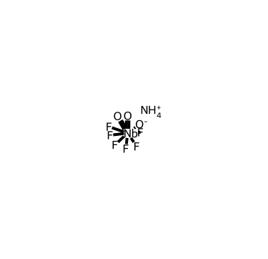 [NH4+].[O]=[Nb](=[O])([O-])([F])([F])([F])([F])([F])[F]